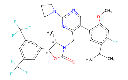 COc1cc(F)c(C(C)C)cc1-c1cnc(N2CCC2)nc1CN1C(=O)O[C@H](c2cc(C(F)(F)F)cc(C(F)(F)F)c2)[C@@H]1C